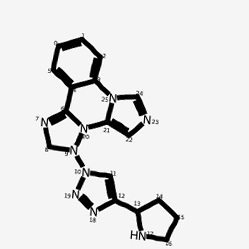 c1ccc2c(c1)C1=NCN(n3cc(C4CCCN4)nn3)N1c1cncn1-2